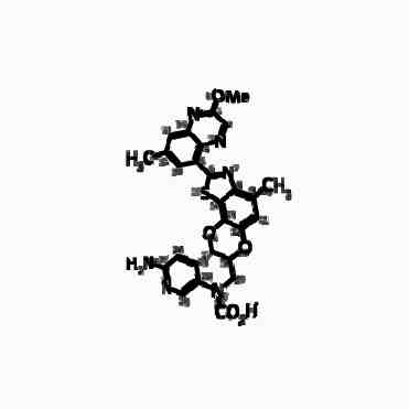 COc1cnc2c(-c3nc4c(C)cc5c(c4s3)OCC(CN(C(=O)O)c3ccc(N)nc3)O5)cc(C)cc2n1